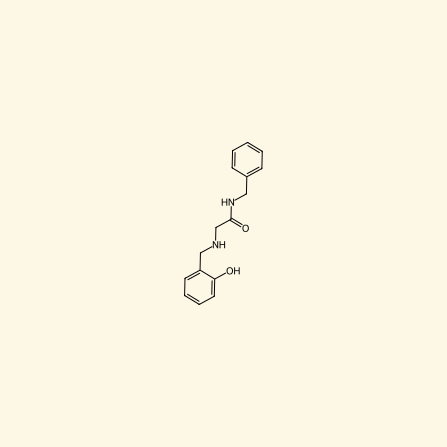 O=C(CNCc1ccccc1O)NCc1ccccc1